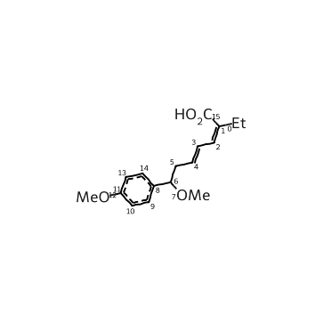 CCC(=CC=CCC(OC)c1ccc(OC)cc1)C(=O)O